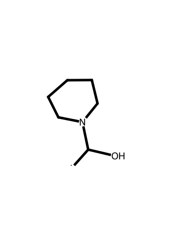 [CH2]C(O)N1CCCCC1